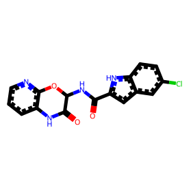 O=C(NC1Oc2ncccc2NC1=O)c1cc2cc(Cl)ccc2[nH]1